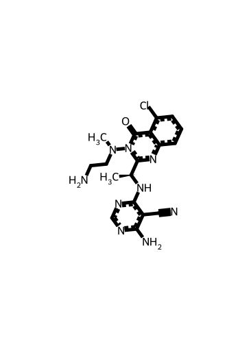 C[C@H](Nc1ncnc(N)c1C#N)c1nc2cccc(Cl)c2c(=O)n1N(C)CCN